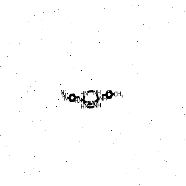 Cc1ccc(CNC23CNCCNCC(NCc4ccc(N=[N+]=[N-])cc4)(CNCCNC2)CNCCNC3)cc1